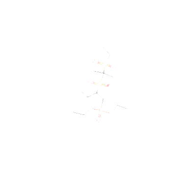 CCOP(=O)(CC(CC)S(=O)(=O)C(C)(C)S(=O)(=O)CC)OCC